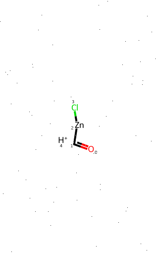 O=[CH][Zn][Cl].[H+]